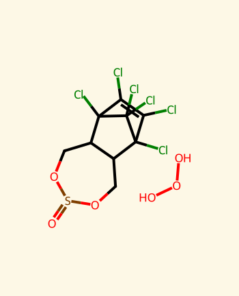 O=S1OCC2C(CO1)C1(Cl)C(Cl)=C(Cl)C2(Cl)C1(Cl)Cl.OOO